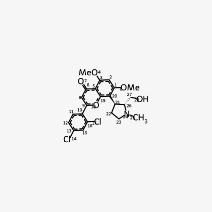 COc1cc(OC)c2c(=O)cc(-c3ccc(Cl)cc3Cl)oc2c1[C@@H]1CCN(C)[C@H]1CO